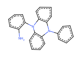 Nc1ccccc1N1c2ccccc2N(c2ccccc2)c2ccccc21